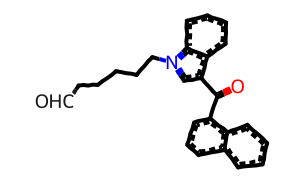 O=CCCCCCn1cc(C(=O)c2cccc3ccccc23)c2ccccc21